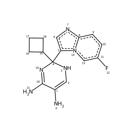 NC1=CNC(c2cnc3ccc(F)cn23)(C2CCC2)N=C1N